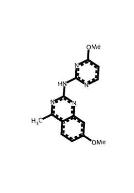 COc1ccc2c(C)nc(Nc3nccc(OC)n3)nc2c1